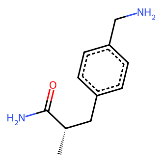 C[C@@H](Cc1ccc(CN)cc1)C(N)=O